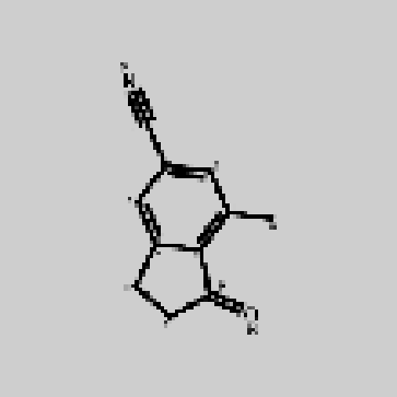 Cc1cc(C#N)cc2c1C(=O)CC2